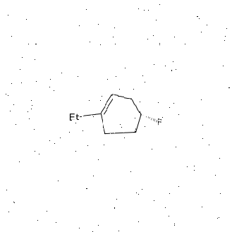 CCC1=CC[C@H](F)CC1